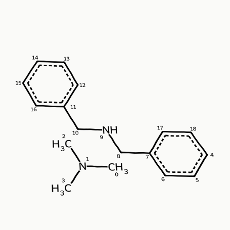 CN(C)C.c1ccc(CNCc2ccccc2)cc1